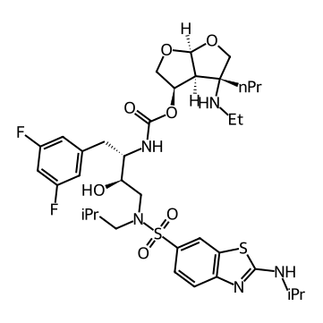 CCC[C@]1(NCC)CO[C@@H]2OC[C@H](OC(=O)N[C@@H](Cc3cc(F)cc(F)c3)[C@H](O)CN(CC(C)C)S(=O)(=O)c3ccc4nc(NC(C)C)sc4c3)[C@@H]21